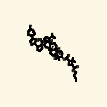 C=C(C)[C@@H]1CC[C@]2(C(=O)N3CCC[C@H]3c3ncc(-c4ccc(F)cc4)[nH]3)CC[C@]3(C)[C@H](CC[C@@H]4[C@@]5(C)CC[C@H](OC(=O)C6CC(C(=O)OCCCC)C6(C)C)C(C)(C)[C@@H]5CC[C@]43C)[C@@H]12